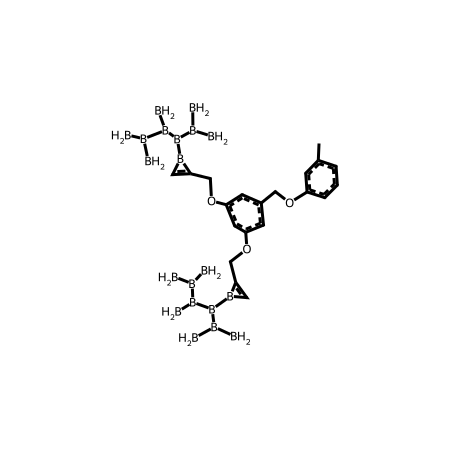 BB(B)B(B)B(B(B)B)B1C=C1COc1cc(COc2cccc(C)c2)cc(OCC2=CB2B(B(B)B)B(B)B(B)B)c1